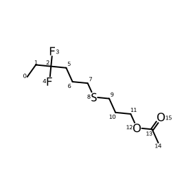 CCC(F)(F)CCCSCCCOC(C)=O